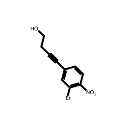 CCc1cc(C#CCCO)ccc1[N+](=O)[O-]